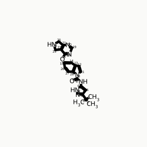 CC(C)(C)c1cc(NC(=O)n2ccc3cc(Oc4ncnc5c4CNC5)ccc32)[nH]n1